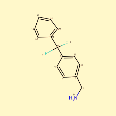 NCc1ccc(C(F)(F)c2ccccc2)cc1